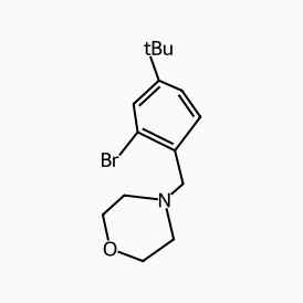 CC(C)(C)c1ccc(CN2CCOCC2)c(Br)c1